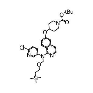 CC(C)(C)OC(=O)N1CCC(Oc2ccc3c(N(COCC[Si](C)(C)C)c4ccc(Cl)nc4)nccc3c2)CC1